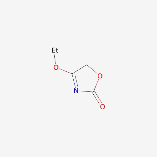 CCOC1=NC(=O)OC1